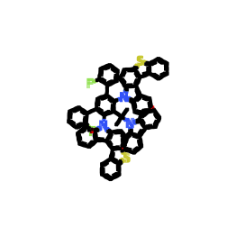 CC(C)(c1c(-n2c3ccccc3c3c4c(ccc32)sc2ccccc24)c(-c2ccccc2F)cc(-c2ccccc2F)c1-n1c2ccccc2c2c3c(ccc21)sc1ccccc13)n1c2ccccc2c2ccccc21